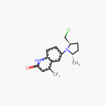 C[C@H]1CC[C@H](CCl)N1c1ccc2[nH]c(=O)cc(C(F)(F)F)c2c1